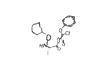 C[C@H](NOC1CCCCC1)C(=O)OP(=O)(Cl)Oc1ccccc1